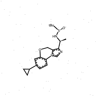 C[C@H](N[S+]([O-])C(C)(C)C)c1ncn2c1COc1cc(C3CC3)ccc1-2